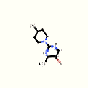 Cc1nc(N2CCC(C(C)C)CC2)ncc1Br